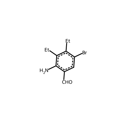 CCc1c(Br)cc(C=O)c(N)c1CC